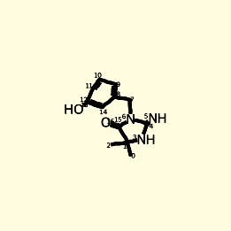 CC1(C)NC(=N)N(Cc2cccc(O)c2)C1=O